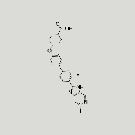 O=C(O)C1CCC(Oc2ccc(-c3ccc(-c4nc5cc(I)ncc5[nH]4)c(F)c3)cn2)CC1